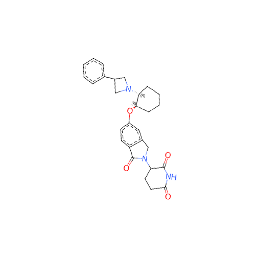 O=C1CCC(N2Cc3cc(O[C@@H]4CCCC[C@H]4N4CC(c5ccccc5)C4)ccc3C2=O)C(=O)N1